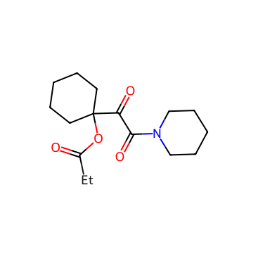 CCC(=O)OC1(C(=O)C(=O)N2CCCCC2)CCCCC1